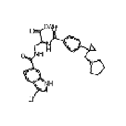 COC(=O)C(CNC(=O)c1ccc2c(Cl)c[nH]c2c1)NC(=O)c1ccc(C2(CN3CCCC3)CC2)cc1